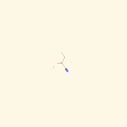 CCC(C#N)OBr.[NaH]